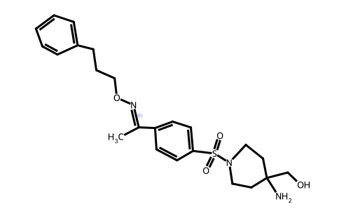 C/C(=N\OCCCc1ccccc1)c1ccc(S(=O)(=O)N2CCC(N)(CO)CC2)cc1